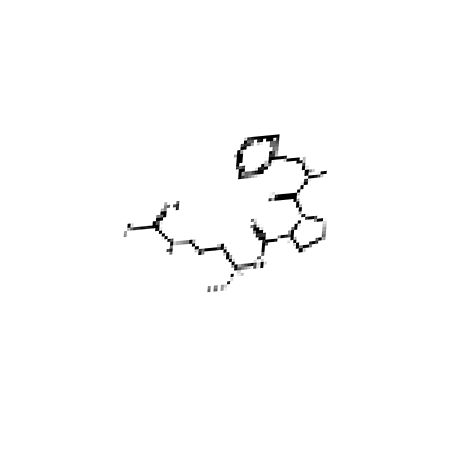 C[C@H](Nc1ccccc1)C(=O)N1CCC[C@H]1C(=O)N[C@H](C=O)CCCNC(=N)N